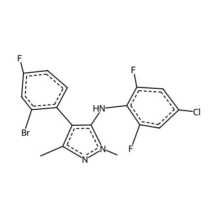 Cc1nn(C)c(Nc2c(F)cc(Cl)cc2F)c1-c1ccc(F)cc1Br